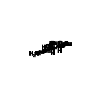 CC(C)(C)OC(=O)NCCCNC(CCCNCCCN)C(=O)OC(C)(C)C